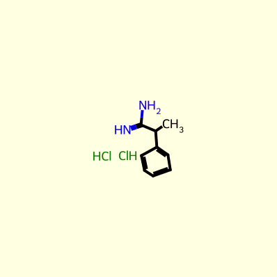 CC(C(=N)N)c1ccccc1.Cl.Cl